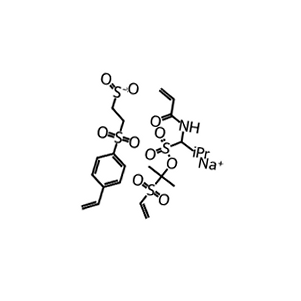 C=CC(=O)NC(C(C)C)S(=O)(=O)OC(C)(C)S(=O)(=O)C=C.C=Cc1ccc(S(=O)(=O)CC[S-](=O)=O)cc1.[Na+]